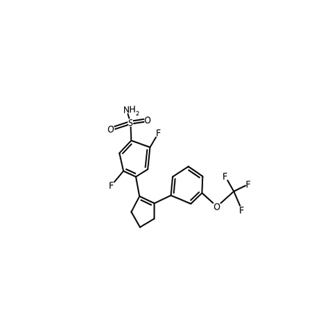 NS(=O)(=O)c1cc(F)c(C2=C(c3cccc(OC(F)(F)F)c3)CCC2)cc1F